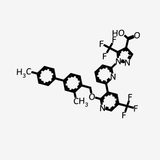 Cc1ccc(-c2ccc(COc3ncc(C(F)(F)F)cc3-c3cccc(-n4ncc(C(=O)O)c4C(F)(F)F)n3)c(C)c2)cc1